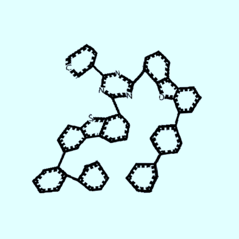 c1ccc(-c2ccc(-c3cccc4c3oc3c(-c5nc(-c6ccccc6)nc(-c6cccc7c6sc6ccc(-c8ccccc8-c8ccccc8)cc67)n5)cccc34)cc2)cc1